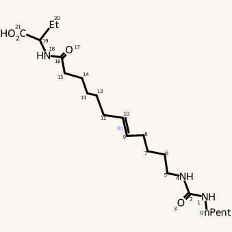 CCCCCNC(=O)NCCCC/C=C/CCCCCC(=O)NC(CC)C(=O)O